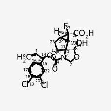 C=CCOC(=O)N1COC(O)[C@@]12[C@H](OCc1ccc(Cl)c(Cl)c1)C[C@@H]1[C@H]2[C@@]1(F)C(=O)O